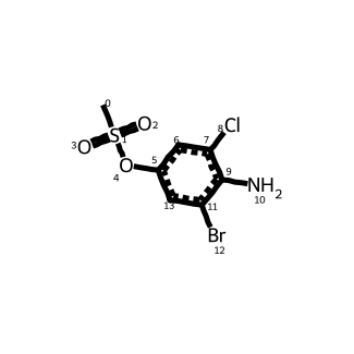 CS(=O)(=O)Oc1cc(Cl)c(N)c(Br)c1